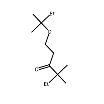 CCC(C)(C)OCCC(=O)C(C)(C)CC